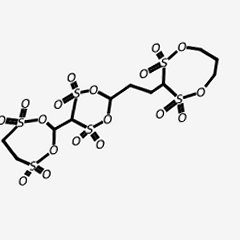 O=S1(=O)CCS(=O)(=O)OC(C2S(=O)(=O)OC(CCC3S(=O)(=O)OCCCOS3(=O)=O)OS2(=O)=O)O1